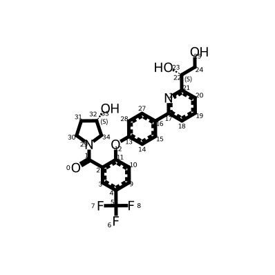 O=C(c1cc(C(F)(F)F)ccc1Oc1ccc(-c2cccc([C@H](O)CO)n2)cc1)N1CC[C@H](O)C1